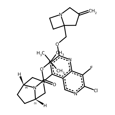 C=C1CN2CCC2(COc2nc(N3C[C@H]4CC[C@@H](C3)N4C(=O)OC(C)(C)C)c3cnc(Cl)c(F)c3n2)C1